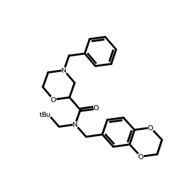 CC(C)(C)CN(Cc1ccc2c(c1)OCCO2)C(=O)C1CN(Cc2ccccc2)CCO1